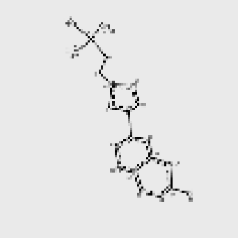 CC(C)(O)CCn1cc(-c2cnc3ccc(Cl)nc3c2)cn1